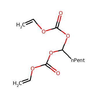 C=COC(=O)OC(CCCCC)OC(=O)OC=C